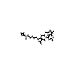 Cc1nc(N2CCc3c(c(C)nn3CCCCCNC3CCC3)C2)c2c(n1)c(C)nn2C